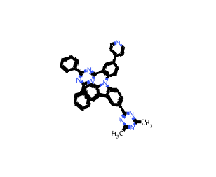 Cc1nc(C)nc(-c2ccc3c(c2)c2ccccc2n3-c2ccc(-c3ccncc3)cc2-c2nc(-c3ccccc3)nc(-c3ccccc3)n2)n1